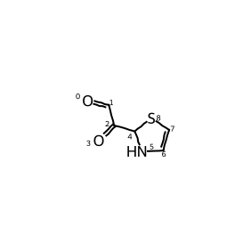 O=CC(=O)C1NC=CS1